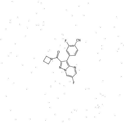 N#Cc1ccc(-c2c(C(=O)N3CCC3)nn3cc(F)cnc23)cc1F